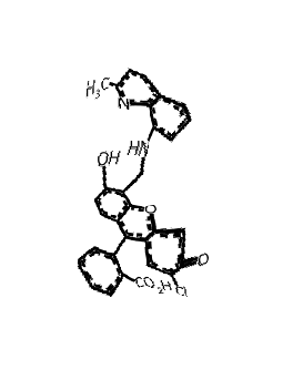 Cc1ccc2cccc(NCc3c(O)ccc4c(-c5ccccc5C(=O)O)c5cc(Cl)c(=O)cc-5oc34)c2n1